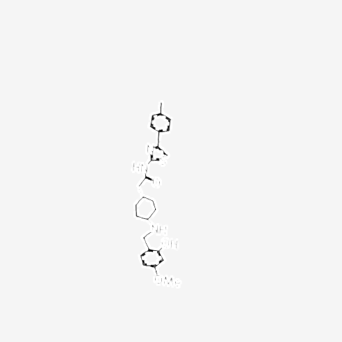 COc1ccc(CN[C@H]2CC[C@@H](CC(=O)Nc3nc(-c4ccc(C)cc4)cs3)CC2)c(O)c1